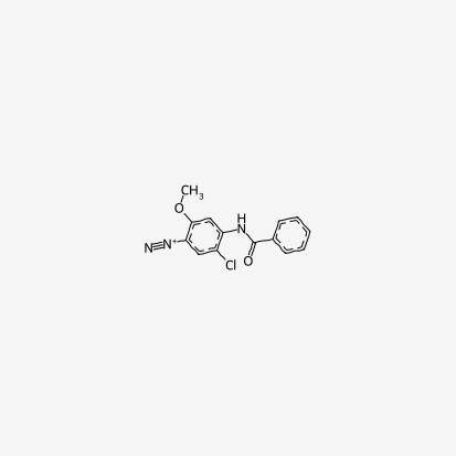 COc1cc(NC(=O)c2ccccc2)c(Cl)cc1[N+]#N